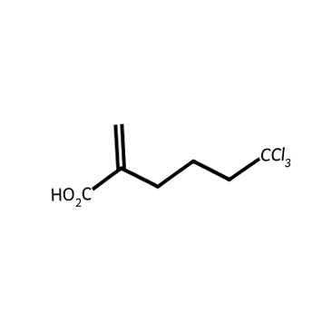 C=C(CCCC(Cl)(Cl)Cl)C(=O)O